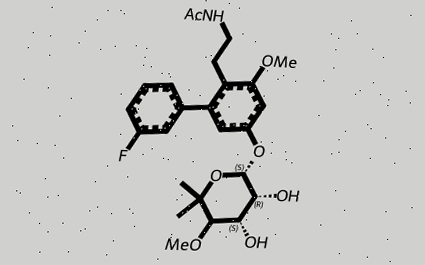 COc1cc(O[C@H]2OC(C)(C)C(OC)[C@@H](O)[C@H]2O)cc(-c2cccc(F)c2)c1CCNC(C)=O